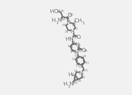 C[C@@H]1CN(C(=O)Nc2ccn(-c3ccc(CN4CC5C(N)[C@@H]5C4)cc3)c(=O)n2)CCN1C(=O)C(N)CO